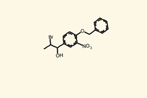 CC(Br)C(O)c1ccc(OCc2ccccc2)c([N+](=O)[O-])c1